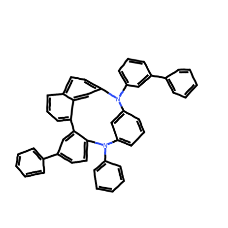 c1ccc(-c2cccc(-n3c4ccc5cccc(c5c4)c4cc(-c5ccccc5)ccc4n(-c4ccccc4)c4cccc3c4)c2)cc1